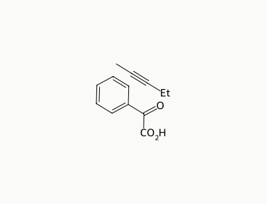 CC#CCC.O=C(O)C(=O)c1ccccc1